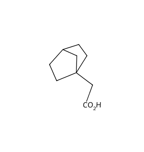 O=C(O)CC12CCC(CC1)C2